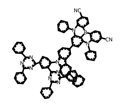 N#Cc1ccc2c(c1)N(c1ccccc1)c1cc(-c3ccc4c(c3)c3cc(-c5ccccc5)ccc3n4-c3ccc(-c4nc(-c5ccccc5)nc(-c5ccccc5)n4)cc3-c3nc(-c4ccccc4)nc(-c4ccccc4)n3)cc3c1B2c1ccc(C#N)cc1N3c1ccccc1